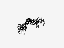 COc1cc2nccc(Oc3ccc4c(C(=O)Nc5nc(C(C)(C)C)c(C#N)s5)cccc4c3)c2cc1OC